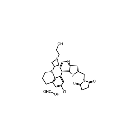 O=C1CCC(=O)N1Cc1cc2nccc(-c3cc(Cl)cc4c3N(C3CN(CCO)C3)CCC4)c2s1.O=CO